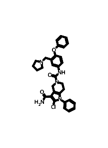 NC(=O)c1c2c(n(-c3ccccc3)c1Cl)CCN(C(=O)Nc1ccc(Oc3ccccc3)c(CN3CCCC3)c1)C2